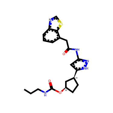 CCCNC(=O)O[C@@H]1CC[C@H](c2cc(NC(=O)Cc3cccc4ncsc34)n[nH]2)C1